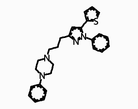 c1ccc(N2CCN(CCCc3cc(-c4cccs4)n(-c4ccccc4)n3)CC2)cc1